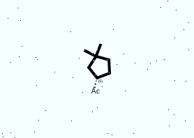 CC(=O)[C@H]1CCC(C)(C)C1